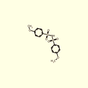 COc1ccc(S(=O)(=O)NS(=O)(=O)c2ccc(OC)cc2)cc1